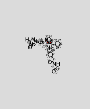 COC(=O)CNC(=O)Cc1ccc(CN(C(=O)C(c2ccccc2)c2ccccc2)[C@H](CCCNC(N)=N[N+](=O)[O-])C(N)=O)cc1